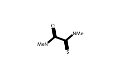 CNC(=O)C(=S)NC